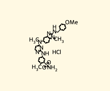 COc1ccc(CNc2nc3cc(N(C)c4ccnc(Nc5ccc(C)c(S(N)(=O)=O)c5)n4)ccc3n2C)cc1.Cl